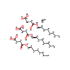 CCCCCCC=COC(=O)CCC(=O)[O-].CCCCCCC=COC(=O)CCC(=O)[O-].CCCCCCC=COC(=O)CCC(=O)[O-].[Al+3]